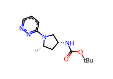 C[C@H]1C[C@@H](NC(=O)OC(C)(C)C)CN1c1cccnn1